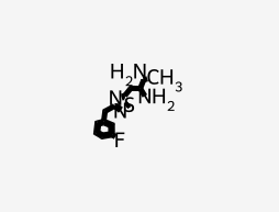 CC(N)C(N)Cc1nc(Cc2cccc(F)c2)ns1